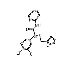 O=C(Nc1ccccn1)[C@H](SCc1ccco1)c1ccc(Cl)c(Cl)c1